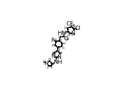 Cn1ccc(Nc2ncc(-c3ccc(CC(=O)Nc4cnc(Cl)c(C(F)(F)F)c4)c(F)c3)cn2)c1